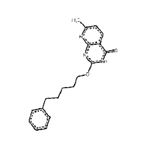 Cc1ccc2c(=O)[nH]c(OCCCCCc3ccccc3)nc2n1